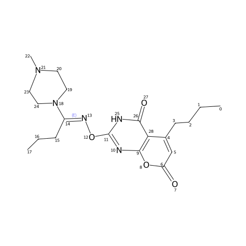 CCCCc1cc(=O)oc2nc(O/N=C(\CCC)N3CCN(C)CC3)[nH]c(=O)c12